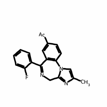 CC(=O)c1ccc2c(c1)C(c1ccccc1F)=NCc1nc(C)cn1-2